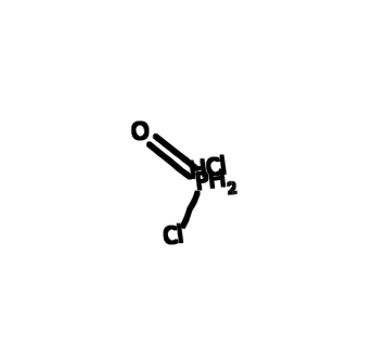 Cl.O=[PH2]Cl